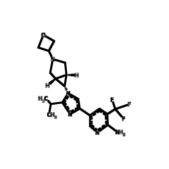 CC(C)c1nc(-c2cnc(N)c(C(F)(F)F)c2)cn1[C@@H]1[C@@H]2CN(C3COC3)C[C@@H]21